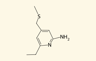 CCc1cc(CSC)cc(N)n1